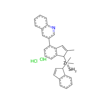 CC1=Cc2c(-c3cnc4ccccc4c3)cccc2[CH]1[Zr]([CH3])([CH3])(=[SiH2])[CH]1C=Cc2ccccc21.Cl.Cl